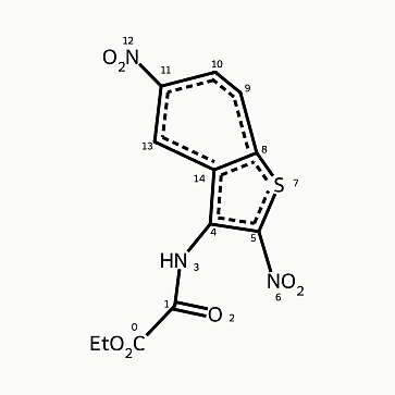 CCOC(=O)C(=O)Nc1c([N+](=O)[O-])sc2ccc([N+](=O)[O-])cc12